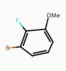 COc1cc[c]c(Br)c1F